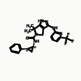 CC1(C)c2[nH]nc(Nc3cccc(C(F)(F)F)n3)c2CN1C(=O)N[C@@H]1C[C@H]1c1ccccc1